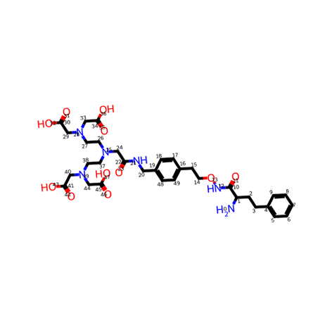 NC(CCc1ccccc1)C(=O)NOCCc1ccc(CNC(=O)CN(CCN(CC(=O)O)CC(=O)O)CCN(CC(=O)O)CC(=O)O)cc1